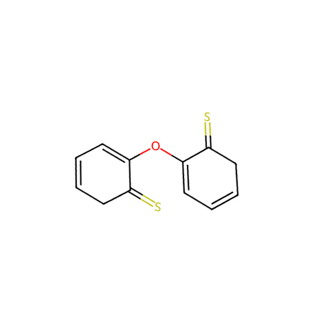 S=C1CC=CC=C1OC1=CC=CCC1=S